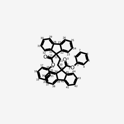 O=C(Oc1ccccc1)C1(CCC2(C(=O)Oc3ccccc3)c3ccccc3-c3ccccc32)c2ccccc2-c2ccccc21